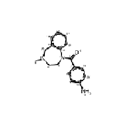 CN1CCN(C(=O)c2ccc(N)cc2)c2ccccc2C1